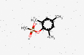 Cc1cc(C)c(OS(C)(=O)=O)c(C)c1